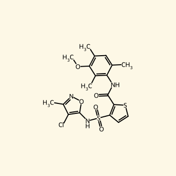 COc1c(C)cc(C)c(NC(=O)c2sccc2S(=O)(=O)Nc2onc(C)c2Cl)c1C